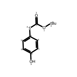 CC(C)(C)OC(=O)Sc1ccc(O)cc1